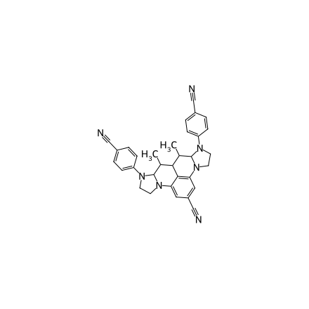 CC1C2c3c(cc(C#N)cc3N3CCN(c4ccc(C#N)cc4)C3C2C)N2CCN(c3ccc(C#N)cc3)C12